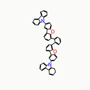 C1=Cc2c(n(-c3ccc4oc5c(-c6ccccc6-c6cccc7c6oc6ccc(-n8c9ccccc9c9ccccc98)cc67)cccc5c4c3)c3ccccc23)CC1